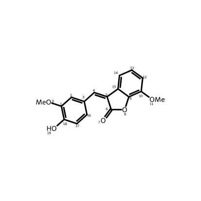 COc1cc(C=C2C(=O)Oc3c(OC)cccc32)ccc1O